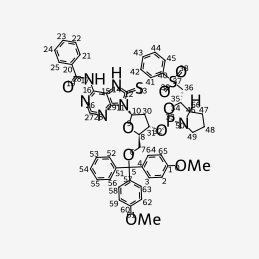 COc1ccc(C(OC[C@H]2O[C@@H](n3c(=S)[nH]c4c(NC(=O)c5ccccc5)ncnc43)C[C@@H]2O[P@]2O[C@H](CS(=O)(=O)c3ccccc3)[C@@H]3CCCN32)(c2ccccc2)c2ccc(OC)cc2)cc1